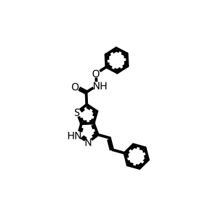 O=C(NOc1ccccc1)c1cc2c(C=Cc3ccccc3)n[nH]c2s1